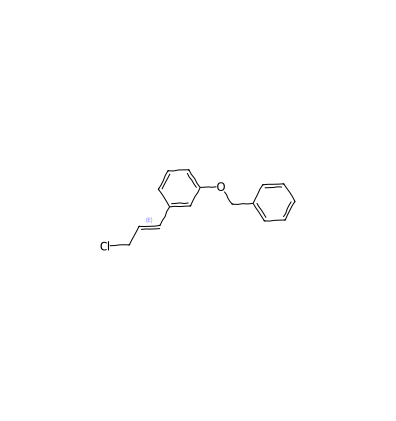 ClC/C=C/c1cccc(OCc2ccccc2)c1